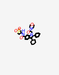 O=C(NC1CCS(=O)(=O)C1)c1ccc2c(C3CCCCC3)c(-c3ccccc3)n(CC(=O)N3CCOCC3)c2c1